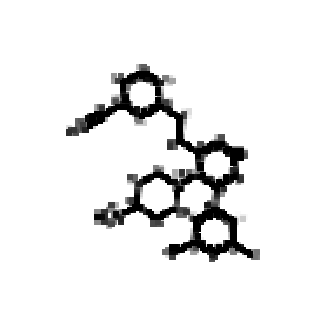 Cc1cc(F)cc(-c2cncc(C=Cc3cccc(C#N)c3)c2N2CCC(N)CC2)c1